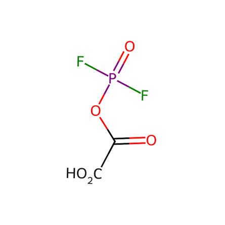 O=C(O)C(=O)OP(=O)(F)F